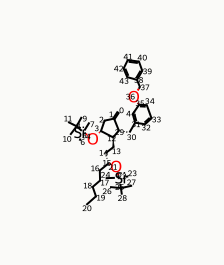 C=C1C[C@@H](O[Si](C)(C)C(C)(C)C)[C@H](CC[C@@H](CCCCC)O[Si](C)(C)C(C)(C)C)[C@H]1Cc1cccc(OCc2ccccc2)c1